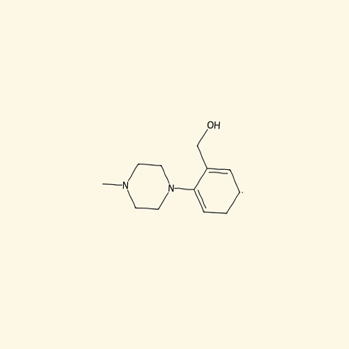 CN1CCN(C2=CC[CH]C=C2CO)CC1